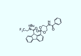 CCCCN(CC(F)(F)F)C(=O)C1c2ccccc2-c2cccc(P3(=O)OCC(NC(=O)c4ccccc4)CO3)c21